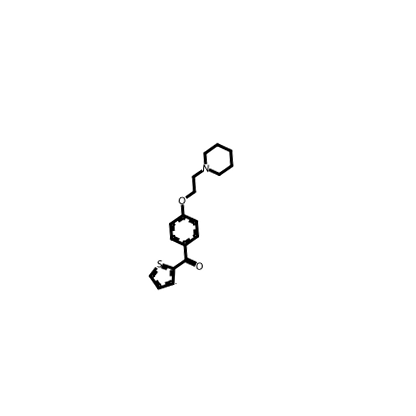 O=C(c1ccc(OCCN2CCCCC2)cc1)c1[c]ccs1